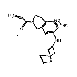 C=CC(=O)N1CCc2ccc(NC3CC4(CCC4)C3)cc2C1.O=CO